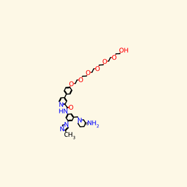 Cc1cn(-c2cc(CN3CCC[C@H](N)C3)cc(NC(=O)c3cc(-c4ccc(OCCOCCOCCOCCOCCOCCO)cc4)ccn3)c2)cn1